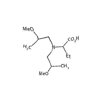 CCC(C(=O)O)N(CC(C)OC)CC(C)OC